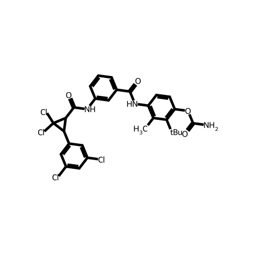 Cc1c(NC(=O)c2cccc(NC(=O)C3C(c4cc(Cl)cc(Cl)c4)C3(Cl)Cl)c2)ccc(OC(N)=O)c1C(C)(C)C